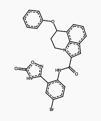 O=C(Nc1ccc(Br)cc1-c1noc(=O)[nH]1)c1cc2cccc3c2n1CCC3Oc1ccccc1